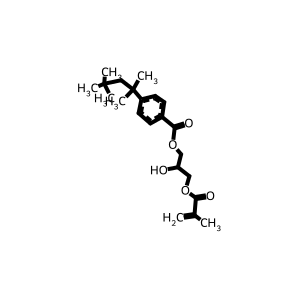 C=C(C)C(=O)OCC(O)COC(=O)c1ccc(C(C)(C)CC(C)(C)C)cc1